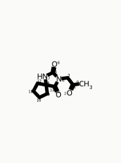 CC(=O)CN1C(=O)NC2(CCCC2)C1=O